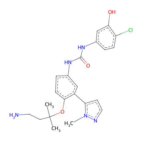 Cn1nccc1-c1cc(NC(=O)Nc2ccc(Cl)c(O)c2)ccc1OC(C)(C)CCN